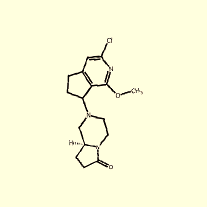 COc1nc(Cl)cc2c1C(N1CCN3C(=O)CC[C@H]3C1)CC2